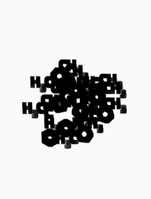 CC(C)(C)c1ccc(N2C3=C(B4c5cc(C(C)(C)C)cc6c5N(c5cc(N7c8ccc(-c9ccccc9)cc8C8(C)CCCCC78C)cc2c54)C2(C)CCCCC62C)C(C)(C)c2cc4c(cc23)C(C)(C)CCC4(C)C)c(-c2ccccc2)c1